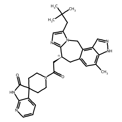 Cc1cc2c(c3cn[nH]c13)Cn1c(CC(C)(C)C)cnc1[C@H](CC(=O)N1CCC3(CC1)C(=O)Nc1ncccc13)C2